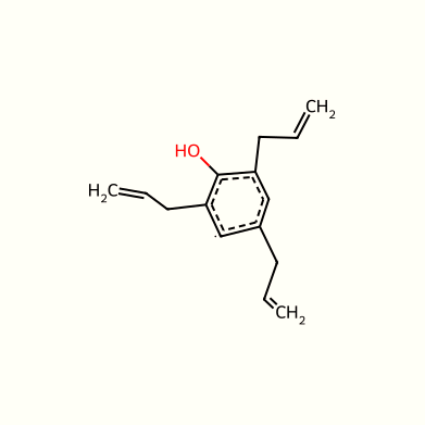 C=CCc1[c]c(CC=C)c(O)c(CC=C)c1